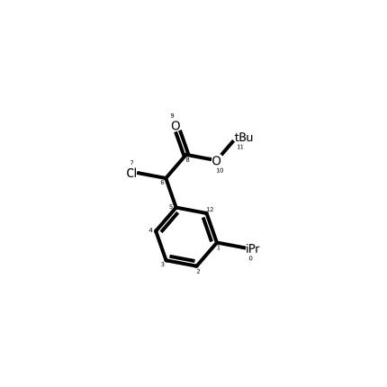 CC(C)c1cccc(C(Cl)C(=O)OC(C)(C)C)c1